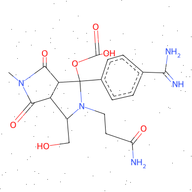 CN1C(=O)C2C(CO)N(CCC(N)=O)C(OC(=O)O)(c3ccc(C(=N)N)cc3)C2C1=O